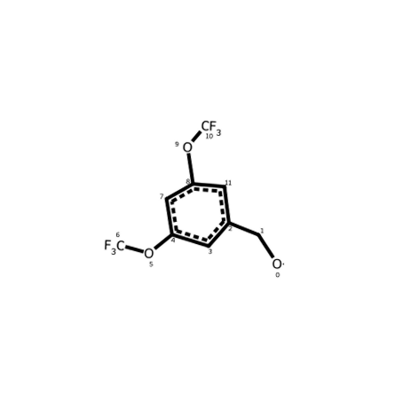 [O]Cc1cc(OC(F)(F)F)cc(OC(F)(F)F)c1